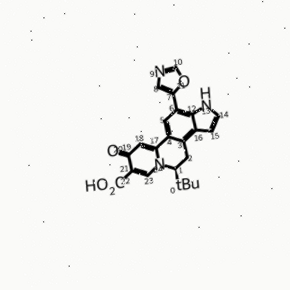 CC(C)(C)[C@@H]1Cc2c(cc(-c3cnco3)c3[nH]ccc23)-c2cc(=O)c(C(=O)O)cn21